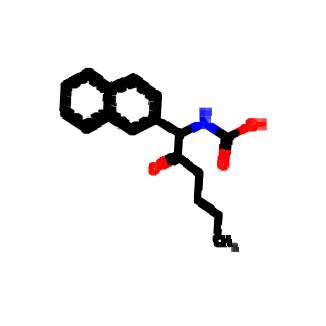 CCCCC(=O)C(NC(=O)O)c1ccc2ccccc2c1